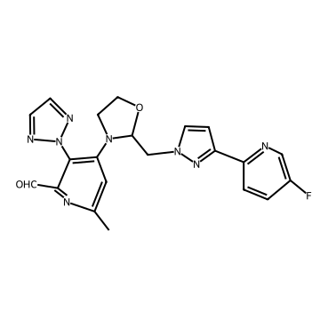 Cc1cc(N2CCOC2Cn2ccc(-c3ccc(F)cn3)n2)c(-n2nccn2)c(C=O)n1